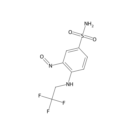 NS(=O)(=O)c1ccc(NCC(F)(F)F)c(N=O)c1